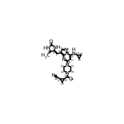 C=c1[nH]c(=O)[nH]/c1=C\c1cnn2c(NC3CC3)cc(N3CCN(C(=O)C4CC4C#N)CC3)nc12